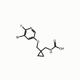 O=C(O)NCC1(COc2cnc(F)c(Br)c2)CC1